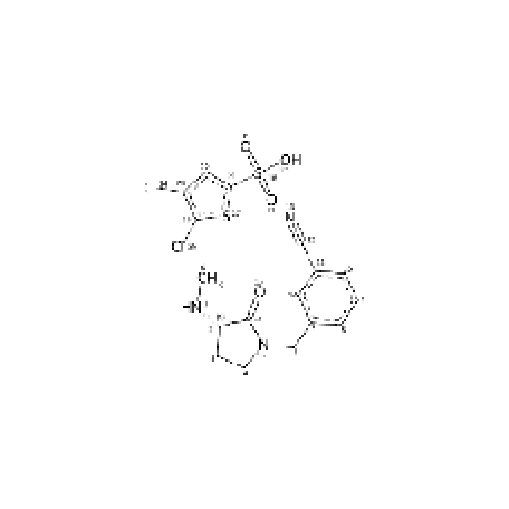 CN[C@H]1CCN(Cc2cccc(C#N)c2)C1=O.O=S(=O)(O)c1cc(Cl)c(Cl)s1